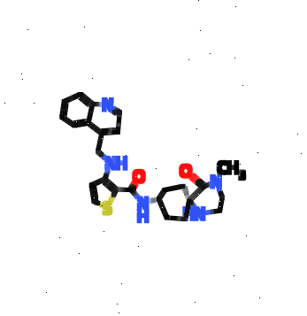 CN1CCN[C@]2(CC[C@@H](NC(=O)c3sccc3NCc3ccnc4ccccc34)CC2)C1=O